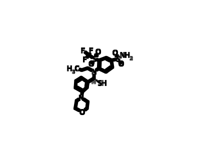 CCCN(c1ccc(S(N)(=O)=O)cc1S(=O)(=O)C(F)(F)F)[C@H](S)c1cccc(N2CCOCC2)c1